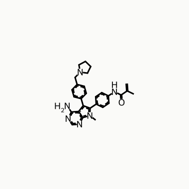 C=C(C)C(=O)Nc1ccc(-c2c(-c3ccc(CN4CCCC4)cc3)c3c(N)ncnc3n2C)cc1